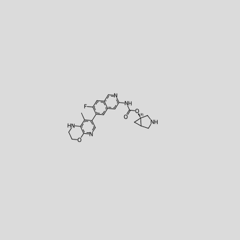 Cc1c(-c2cc3cc(NC(=O)O[C@@]45CNCC4C5)ncc3cc2F)cnc2c1NCCO2